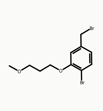 COCCCOc1cc(CBr)ccc1Br